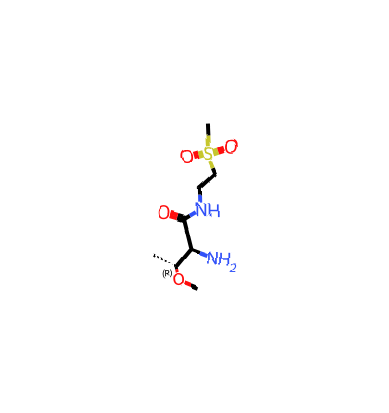 CO[C@H](C)C(N)C(=O)NCCS(C)(=O)=O